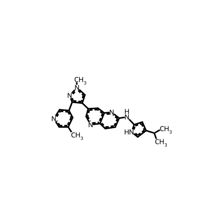 Cc1cncc(-c2nn(C)cc2-c2cnc3ccc(Nc4cc(C(C)C)c[nH]4)nc3c2)c1